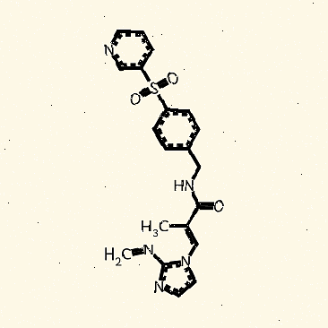 C=Nc1nccn1/C=C(\C)C(=O)NCc1ccc(S(=O)(=O)c2cccnc2)cc1